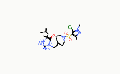 Cc1nn(C)c(Cl)c1S(=O)(=O)N1CCC(CN2C(=N)NC(C)(CC(C)C)C2=O)CC1